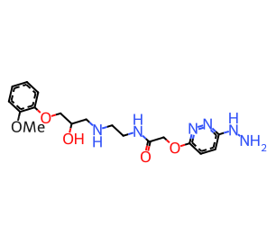 COc1ccccc1OCC(O)CNCCNC(=O)COc1ccc(NN)nn1